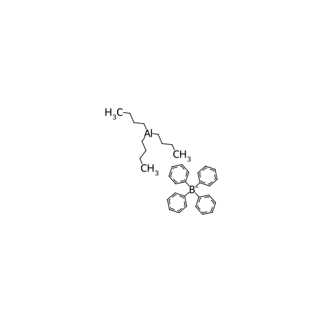 CCC[CH2][Al]([CH2]CCC)[CH2]CCC.c1ccc([B-](c2ccccc2)(c2ccccc2)c2ccccc2)cc1